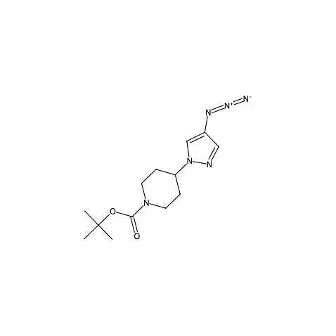 CC(C)(C)OC(=O)N1CCC(n2cc(N=[N+]=[N-])cn2)CC1